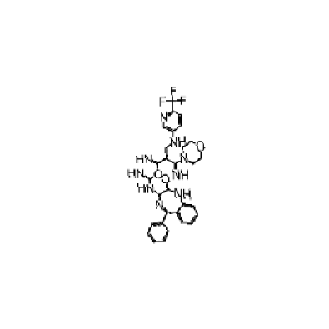 N=C(NC1N=C(c2ccccc2)c2ccccc2NC1=O)OC(=N)/C(=C/Nc1ccc(C(F)(F)F)nc1)C(=N)N1CCOCC1